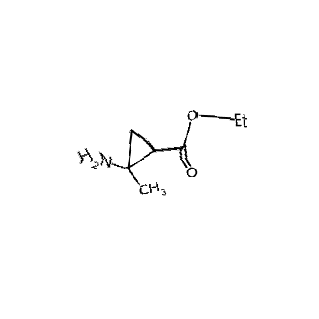 CCOC(=O)C1CC1(C)N